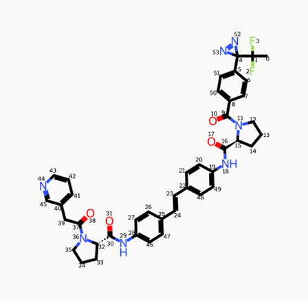 CC(F)(F)C1(c2ccc(C(=O)N3CCC[C@H]3C(=O)Nc3ccc(/C=C/c4ccc(NC(=O)[C@@H]5CCCN5C(=O)Cc5cccnc5)cc4)cc3)cc2)N=N1